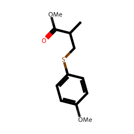 COC(=O)C(C)CSc1ccc(OC)cc1